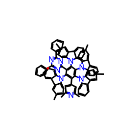 Cc1ccc2c(c1)c1ccccc1n2-c1c(-c2cc(C)nc(C)c2)c(-n2c3ccccc3c3cc(C)ccc32)c(-n2c3ccccc3c3cc(C)ccc32)c(-n2c3ccccc3c3cc(C)ccc32)c1-c1nc(-c2ccccc2)nc(-c2ccccc2)n1